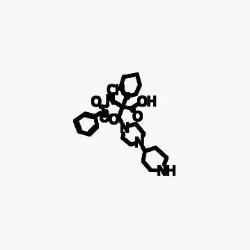 CN(C(C(=O)O)(C(=O)N1CCN(C2CCNCC2)CC1)C1CCCCC1)S(=O)(=O)c1ccccc1